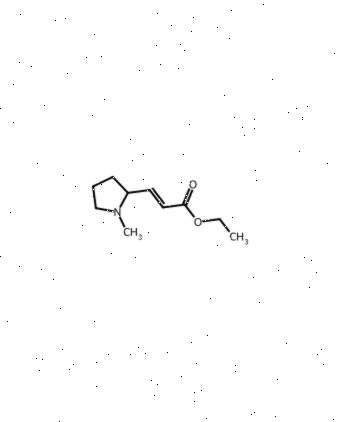 CCOC(=O)C=CC1CCCN1C